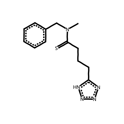 CN(Cc1ccccc1)C(=S)CCCc1nnn[nH]1